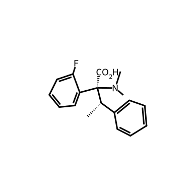 C[C@@H](c1ccccc1)[C@@](C(=O)O)(c1ccccc1F)N(C)C